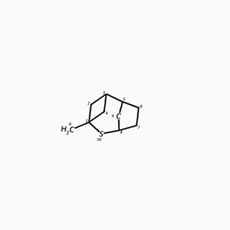 CC12CC(C1)C1CCC(C1)S2